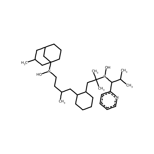 CC(CCN(O)C12CCCC(CC(C)C1)C2)CC1CCCCC1CC(C)(C)N(O)C(c1ccccn1)C(C)C